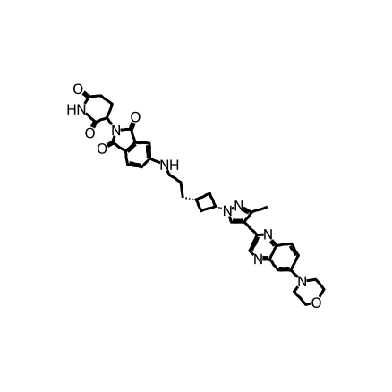 Cc1nn([C@H]2C[C@@H](CCCNc3ccc4c(c3)C(=O)N(C3CCC(=O)NC3=O)C4=O)C2)cc1-c1cnc2cc(N3CCOCC3)ccc2n1